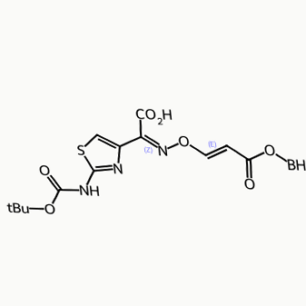 BOC(=O)/C=C/O/N=C(\C(=O)O)c1csc(NC(=O)OC(C)(C)C)n1